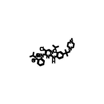 CC(C)Oc1cc(C(C)(C)CN2CCN(C)CC2)ccc1Nc1ncc(Cl)c(Nc2ccccc2S(=O)(=O)C(C)C)n1